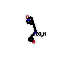 O=C1C=CC=C(CCCN(CCCCCc2cc3c4c(c2)CCN4C(=O)CC3)C(=O)O)C1